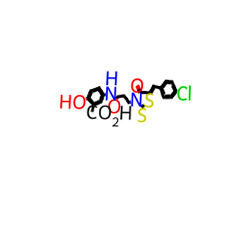 O=C(CCN1C(=O)/C(=C/c2ccc(Cl)cc2)SC1=S)Nc1ccc(O)c(C(=O)O)c1